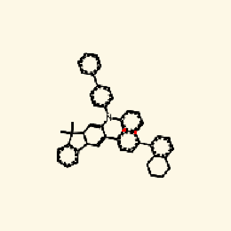 CC1(C)c2ccccc2C2C=C(c3ccc(-c4cccc5c4CCCC5)cc3)C(N(c3ccccc3)c3ccc(-c4ccccc4)cc3)=CC21